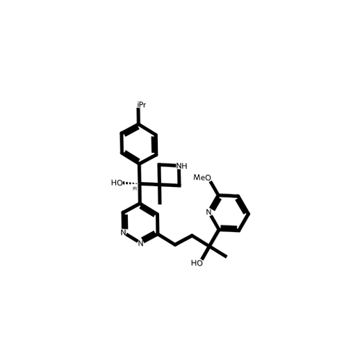 COc1cccc(C(C)(O)CCc2cc([C@@](O)(c3ccc(C(C)C)cc3)C3(C)CNC3)cnn2)n1